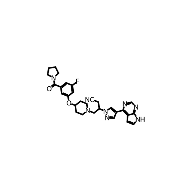 N#CCC(CN1CCC(Oc2cc(F)cc(C(=O)N3CCCC3)c2)CC1)n1cc(-c2ncnc3[nH]ccc23)cn1